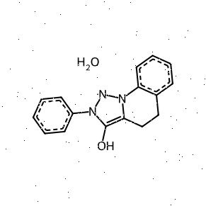 O.OC1=C2CCc3ccccc3N2[N]N1c1ccccc1